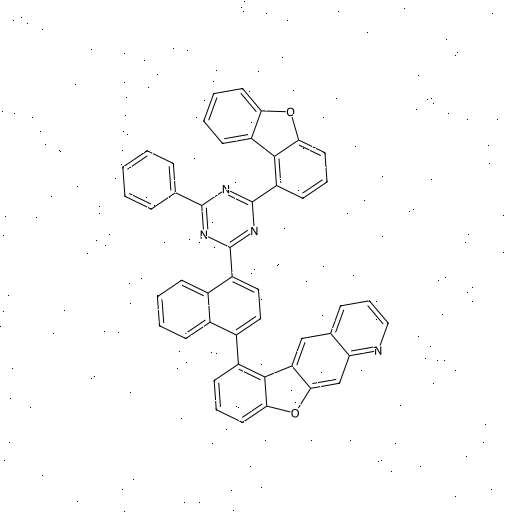 c1ccc(-c2nc(-c3ccc(-c4cccc5oc6cc7ncccc7cc6c45)c4ccccc34)nc(-c3cccc4oc5ccccc5c34)n2)cc1